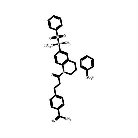 CCOC(=O)[N+](C)(c1ccc2c(c1)CCCN2C(=O)CCc1ccc(C(=N)N)cc1)S(=O)(=O)c1ccccc1.O=S(=O)(O)c1ccccc1